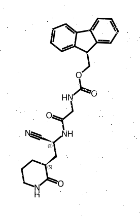 N#C[C@H](C[C@@H]1CCCNC1=O)NC(=O)CNC(=O)OCC1c2ccccc2-c2ccccc21